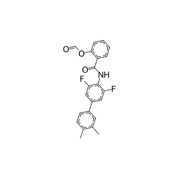 Cc1ccc(-c2cc(F)c(NC(=O)c3ccccc3OC=O)c(F)c2)cc1C